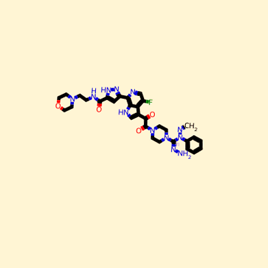 C=NN(/C(=N\N)N1CCN(C(=O)C(=O)c2c[nH]c3c(-c4cc(C(=O)NCCN5CCOCC5)[nH]n4)ncc(F)c23)CC1)c1ccccc1